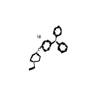 C=C[C@H]1CC[C@H](Cc2ccc(P(c3ccccc3)c3ccccc3)cc2)CC1.I